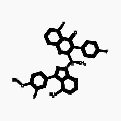 CC(C)Oc1ccc(-c2nn([C@H](C)c3oc4cccc(F)c4c(=O)c3-c3ccc(F)cc3)c3ncnc(N)c23)cc1F